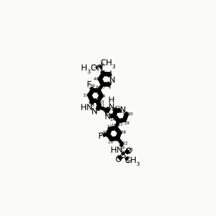 CN(C)c1cncc(-c2cc3c(-c4nc5c(-c6cc(F)cc(CNS(C)(=O)=O)c6)ccnc5[nH]4)n[nH]c3cc2F)c1